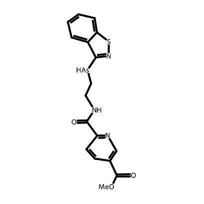 COC(=O)c1ccc(C(=O)NCC[AsH]c2nsc3ccccc23)nc1